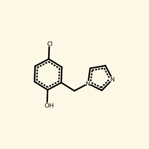 Oc1ccc(Cl)cc1Cn1ccnc1